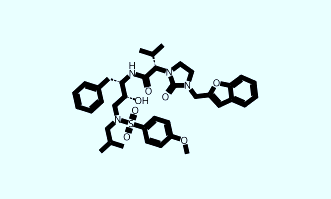 COc1ccc(S(=O)(=O)N(CC(C)C)C[C@@H](O)[C@H](Cc2ccccc2)NC(=O)[C@H](C(C)C)N2CCN(Cc3cc4ccccc4o3)C2=O)cc1